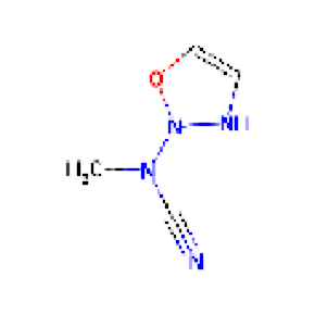 CN(C#N)N1NC=CO1